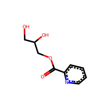 O=C(OCC(O)CO)c1ccccn1